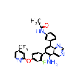 C=CC(=O)Nc1cccc(-c2cc(-c3ccc(Oc4cc(C(F)(F)F)ccn4)cc3F)c(N)c3cncnc23)c1